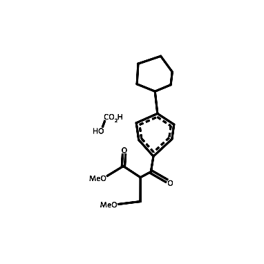 COCC(C(=O)OC)C(=O)c1ccc(C2CCCCC2)cc1.O=C(O)O